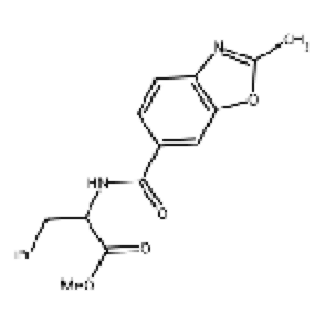 COC(=O)C(CC(C)C)NC(=O)c1ccc2nc(C)oc2c1